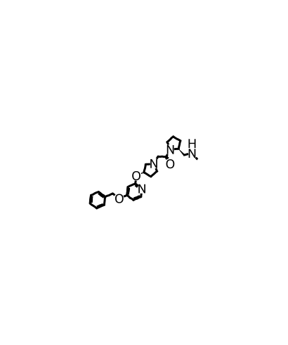 CNC[C@@H]1CCCN1C(=O)CN1CC[C@H](Oc2cc(OCc3ccccc3)ccn2)C1